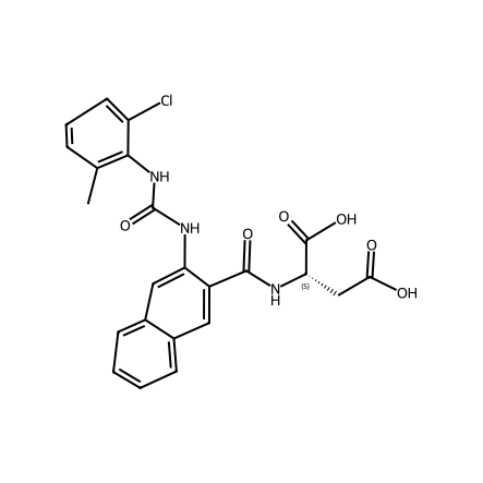 Cc1cccc(Cl)c1NC(=O)Nc1cc2ccccc2cc1C(=O)N[C@@H](CC(=O)O)C(=O)O